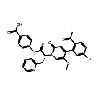 COc1cn([C@H](Cc2ccccn2)C(=O)Nc2ccc(C(=O)O)cc2)c(=O)cc1-c1cc(Cl)ccc1C(C)=O